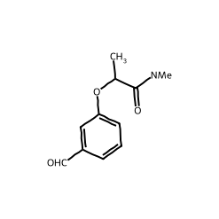 CNC(=O)C(C)Oc1cccc(C=O)c1